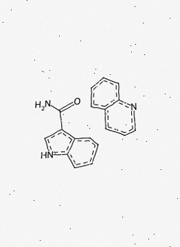 NC(=O)c1c[nH]c2ccccc12.c1ccc2ncccc2c1